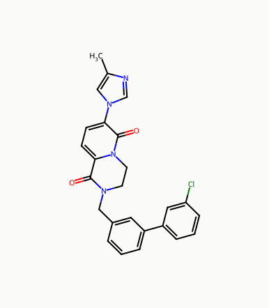 Cc1cn(-c2ccc3n(c2=O)CCN(Cc2cccc(-c4cccc(Cl)c4)c2)C3=O)cn1